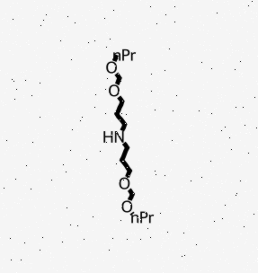 CCCOCOCCCNCCCOCOCCC